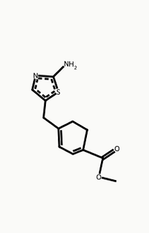 COC(=O)C1=CC=C(Cc2cnc(N)s2)CC1